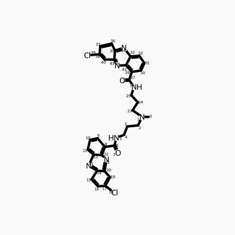 CN(CCCNC(=O)c1cccc2nc3ccc(Cl)cc3nc12)CCCNC(=O)c1cccc2nc3ccc(Cl)cc3nc12